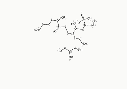 CCCCCCCCCCCCCC(C)C(=O)CCC(CCCCCCCCCCCC)C(O)CN(NCC)P(=O)(O)O.OCC(O)CO